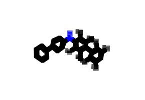 [2H]c1cc([2H])c([2H])c(-c2c([2H])c([2H])c(Nc3ccc(-c4ccccc4)cc3)c([2H])c2[2H])c1[2H]